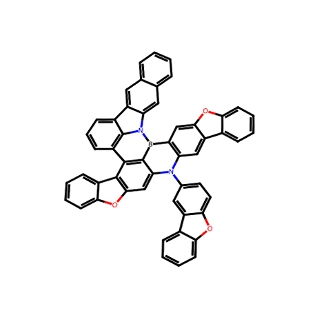 c1ccc2cc3c(cc2c1)c1cccc2c1n3B1c3cc4oc5ccccc5c4cc3N(c3ccc4oc5ccccc5c4c3)c3cc4oc5ccccc5c4c-2c31